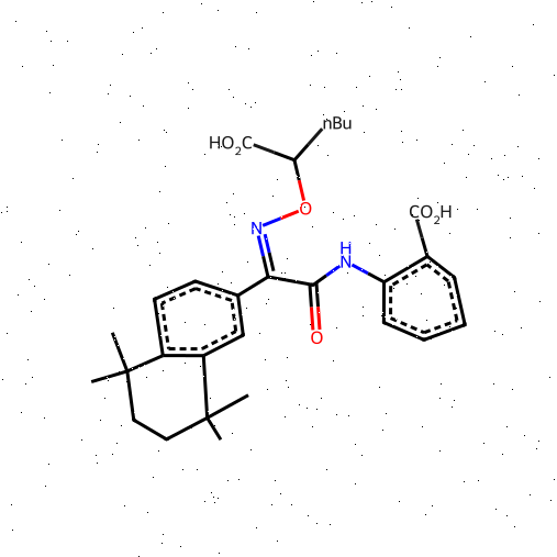 CCCCC(ON=C(C(=O)Nc1ccccc1C(=O)O)c1ccc2c(c1)C(C)(C)CCC2(C)C)C(=O)O